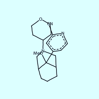 COC1(c2ccnc(C#N)c2)C2CCCC1CN(C1CCOCC1)C2